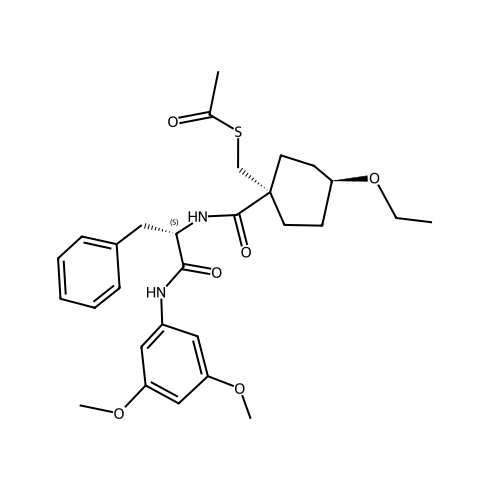 CCO[C@H]1CC[C@@](CSC(C)=O)(C(=O)N[C@@H](Cc2ccccc2)C(=O)Nc2cc(OC)cc(OC)c2)CC1